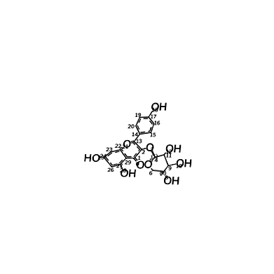 O=c1c(O[C@@H]2OC[C@@H](O)C(O)C2O)c(-c2ccc(O)cc2)oc2cc(O)cc(O)c12